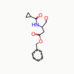 O=CC(CC(=O)OCc1ccccc1)NC(=O)C1CC1